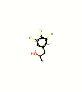 [CH2]C(O)Cc1cc(F)c(F)c(F)c1